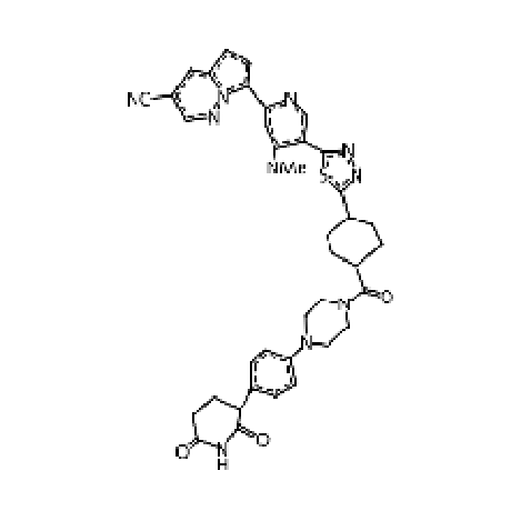 CNc1cc(-c2ccc3cc(C#N)cnn23)ncc1-c1nnc(C2CCC(C(=O)N3CCN(c4ccc([C@@H]5CCC(=O)NC5=O)cc4)CC3)CC2)s1